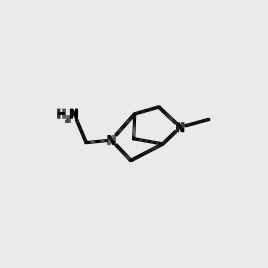 CN1CC2CC1CN2CN